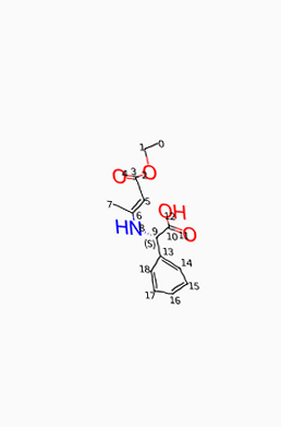 CCOC(=O)C=C(C)N[C@H](C(=O)O)c1ccccc1